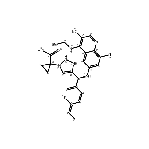 C=C(/C=C\C(F)=C/C)[C@H](Nc1cc(Cl)c2ncc(C#N)c(NCC(C)(C)C)c2c1)C1=CN(C2(C(N)=O)CC2)NN1